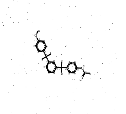 COc1ccc(C(C)(C)c2cccc(C(C)(C)c3ccc(OC(C)=O)cc3)c2)cc1